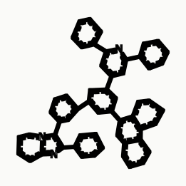 c1ccc(-c2cc(-c3cc(-c4cccc(-c5c(-c6ccccc6)nc6ccccn56)c4)cc(-c4cc5ccccc5c5ccccc45)c3)cc(-c3ccccc3)n2)cc1